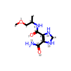 COCC(C)NC(=O)C1=C(C(N)=O)NCN1